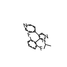 CC(C)n1ncc(-c2ccncc2)c1-c1c(F)cccc1F